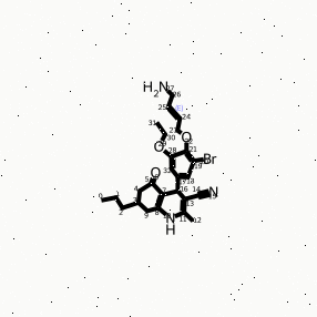 CCCC1CC(=O)C2=C(C1)NC(C)=C(C#N)C2c1cc(Br)c(OC/C=C/CN)c(OCC)c1